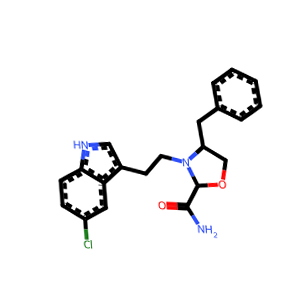 NC(=O)C1OCC(Cc2ccccc2)N1CCc1c[nH]c2ccc(Cl)cc12